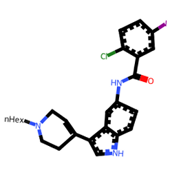 CCCCCCN1CC=C(c2c[nH]c3ccc(NC(=O)c4cc(I)ccc4Cl)cc23)CC1